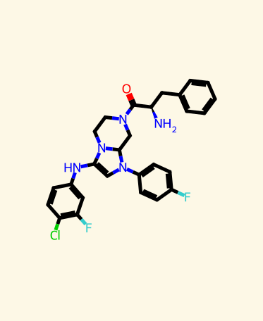 N[C@H](Cc1ccccc1)C(=O)N1CCN2C(Nc3ccc(Cl)c(F)c3)=CN(c3ccc(F)cc3)C2C1